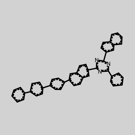 c1ccc(-c2ccc(-c3ccc(-c4ccc5cc(-c6nc(-c7ccccc7)nc(-c7ccc8ccccc8c7)n6)ccc5c4)cc3)cc2)cc1